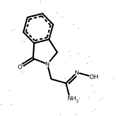 NC(CN1Cc2ccccc2C1=O)=NO